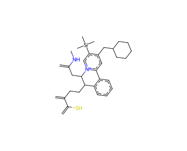 C=C(CC1C(CCC(=C)C(=C)S)c2ccccc2-c2cc(CC3CCCCC3)c([Si](C)(C)C)c[n+]21)NC